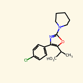 CC(C(=O)O)c1oc(N2CCCCC2)nc1-c1ccc(Cl)cc1